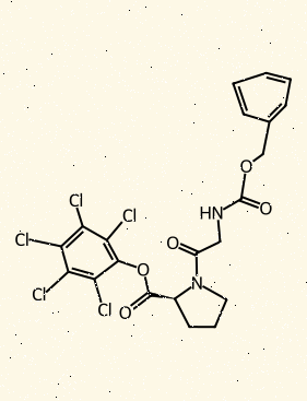 O=C(NCC(=O)N1CCC[C@H]1C(=O)Oc1c(Cl)c(Cl)c(Cl)c(Cl)c1Cl)OCc1ccccc1